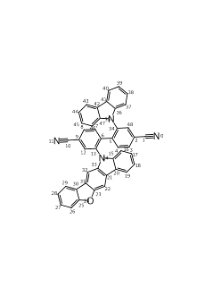 N#Cc1ccc(-c2ccc(C#N)cc2-n2c3ccccc3c3cc4oc5ccccc5c4cc32)c(-n2c3ccccc3c3ccccc32)c1